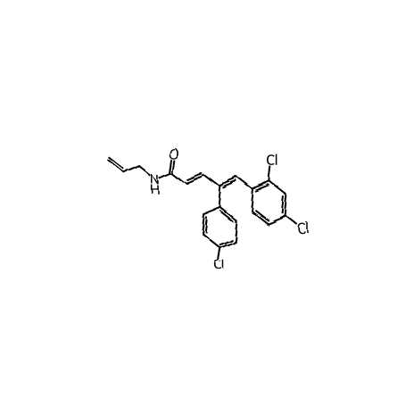 C=CCNC(=O)/C=C/C(=C/c1ccc(Cl)cc1Cl)c1ccc(Cl)cc1